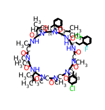 CC[C@H](C)[C@@H]1NC(=O)[C@H](C)N(C)C(=O)C[C@@H](C)NC(=O)[C@H](CC(C)C)N(C)C(=O)[C@H](Cc2ccccc2)N(C)C(=O)[C@H](CC(C)C)NC(=O)[C@H](CCc2c(F)cccc2Cl)NC(=O)CN(C)C(=O)[C@H](Cc2ccc(Cl)cc2)N(C)C(=O)CN(C)C(=O)CN(C)C1=O